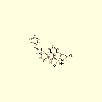 O=C1Nc2cc(Cl)ccc2/C1=C(/Nc1ccc(CNCc2ccccc2)cc1)c1ccccc1